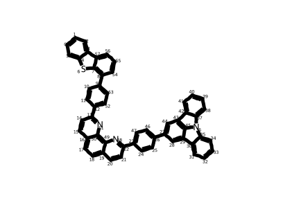 c1ccc2c(c1)sc1c(-c3ccc(-c4ccc5ccc6ccc(-c7ccc(-c8cc9c%10ccccc%10n%10c%11ccccc%11c(c8)c9%10)cc7)nc6c5n4)cc3)cccc12